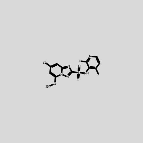 CCOc1cc(Cl)cc2nc(S(=O)(=O)Nc3c(C)ccnc3F)nn12